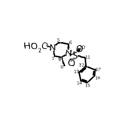 C[C@H]1CN(C(=O)O)CCN1S(=O)(=O)Cc1ccccc1